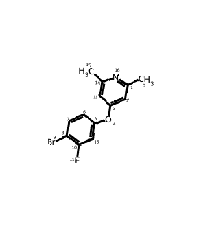 Cc1cc(Oc2ccc(Br)c(F)c2)cc(C)n1